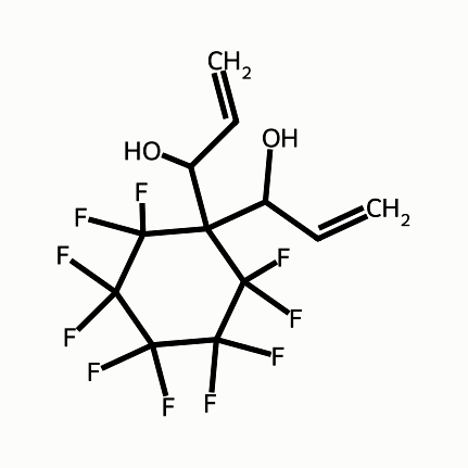 C=CC(O)C1(C(O)C=C)C(F)(F)C(F)(F)C(F)(F)C(F)(F)C1(F)F